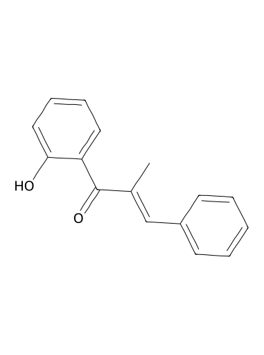 C/C(=C\c1ccccc1)C(=O)c1ccccc1O